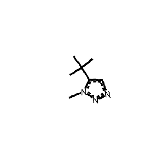 Cn1nncc1C(C)(C)C